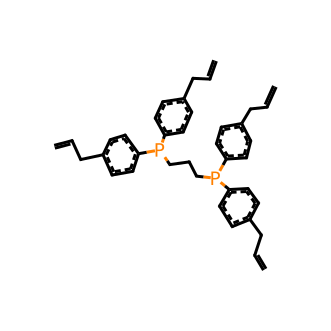 C=CCc1ccc(P(CCCP(c2ccc(CC=C)cc2)c2ccc(CC=C)cc2)c2ccc(CC=C)cc2)cc1